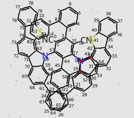 N#Cc1c(-c2ccccc2-c2ccccc2)c(C#N)c(-n2c3cc(-c4ccccc4)ccc3c3ccc4c5ccccc5sc4c32)c(-c2ccccc2-c2ccccc2)c1-n1c2cc(-c3ccccc3)ccc2c2ccc3c4ccccc4sc3c21